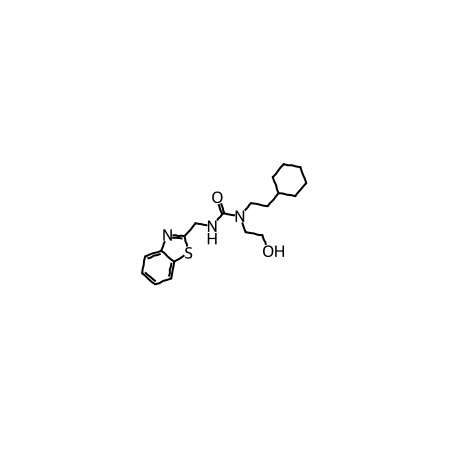 O=C(NCc1nc2ccccc2s1)N(CCO)CCC1CCCCC1